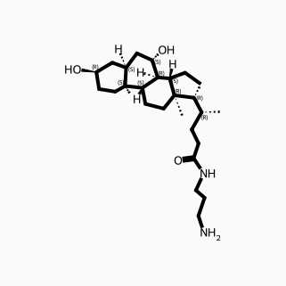 C[C@H](CCC(=O)NCCCN)[C@H]1CC[C@H]2[C@@H]3[C@@H](O)C[C@@H]4C[C@H](O)CC[C@]4(C)[C@H]3CC[C@]12C